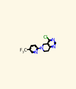 FC(F)(F)c1ccc(N2CCc3ncnc(Cl)c3C2)nc1